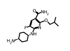 CC(C)COc1nc(N[C@H]2CC[C@H](N)CC2)c(F)cc1C(N)=O